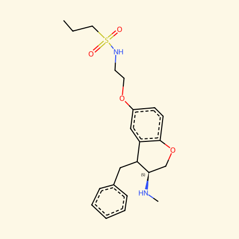 CCCS(=O)(=O)NCCOc1ccc2c(c1)C(Cc1ccccc1)[C@H](NC)CO2